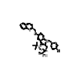 CC(C)(Cc1c([S+]([O-])C(C)(C)C)c2cc(OCc3ccc4ccccc4n3)ccc2n1Cc1ccc(Cl)cc1)C(=O)O